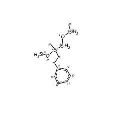 C[SiH2]O[SiH2][Si](C)(CCc1ccccc1)O[SiH3]